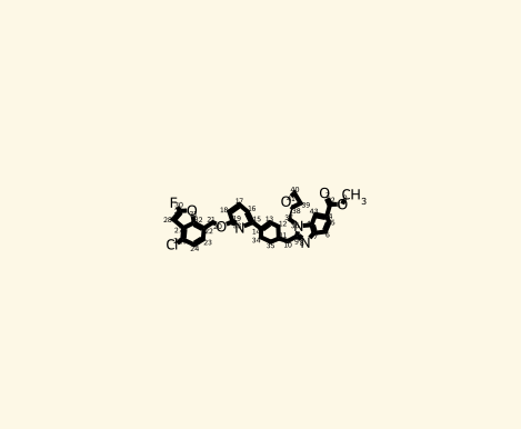 COC(=O)c1ccc2nc(CC3CC=C(c4cccc(OCc5ccc(Cl)c6cc(F)oc56)n4)CC3)n(C[C@@H]3CCO3)c2c1